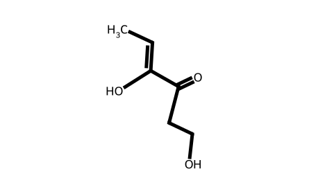 CC=C(O)C(=O)CCO